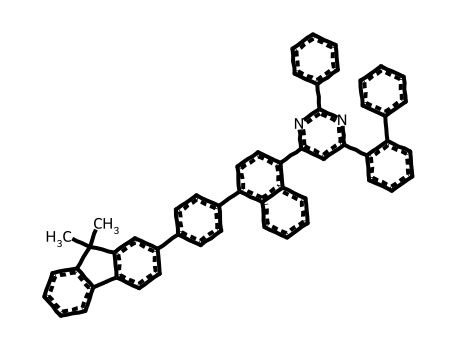 CC1(C)c2ccccc2-c2ccc(-c3ccc(-c4ccc(-c5cc(-c6ccccc6-c6ccccc6)nc(-c6ccccc6)n5)c5ccccc45)cc3)cc21